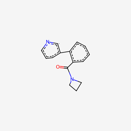 O=C(c1ccccc1-c1[c]nccc1)N1CCC1